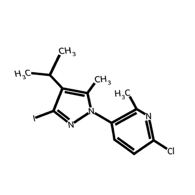 Cc1nc(Cl)ccc1-n1nc(I)c(C(C)C)c1C